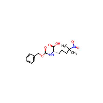 CC(C)(CCC[C@H](NC(=O)OCc1ccccc1)C(=O)O)[N+](=O)[O-]